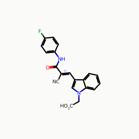 N#C/C(=C\c1cn(CC(=O)O)c2ccccc12)C(=O)Nc1ccc(F)cc1